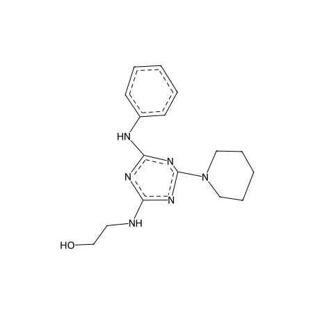 OCCNc1nc(Nc2ccccc2)nc(N2CCCCC2)n1